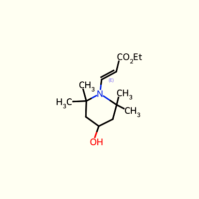 CCOC(=O)/C=C/N1C(C)(C)CC(O)CC1(C)C